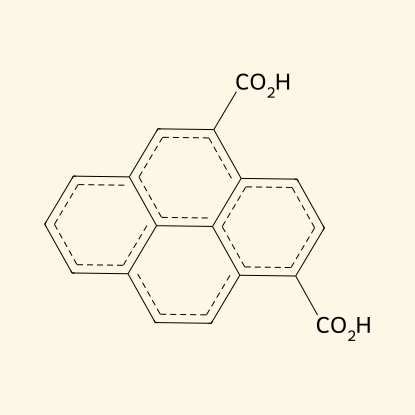 O=C(O)c1ccc2c(C(=O)O)cc3cccc4ccc1c2c43